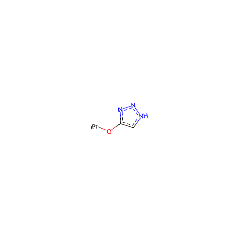 CC(C)Oc1c[nH]nn1